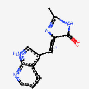 CC1=N/C(=C\c2c[nH]c3ncccc23)C(=O)N1